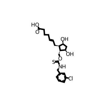 O=C(O)CCCC=CC[C@@H]1[C@@H](COC(=S)NCc2cccc(Cl)c2)[C@H](O)C[C@@H]1O